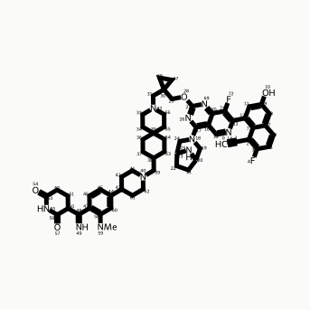 C#Cc1c(F)ccc2cc(O)cc(-c3ncc4c(N5CC6CCC(C5)N6)nc(OCC5(CN6CCC7(CCC(CN8CCC(c9ccc(C(=N)C%10CCC(=O)NC%10=O)c(NC)c9)CC8)CC7)CC6)CC5)nc4c3F)c12